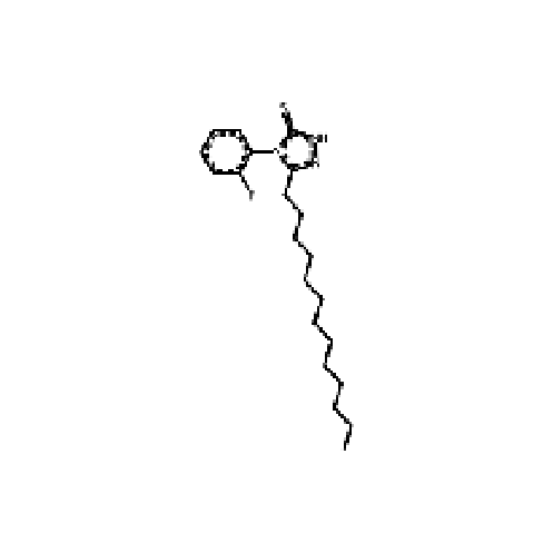 CCCCCCCCCCCCCc1n[nH]c(=S)n1-c1ccccc1F